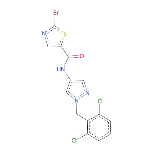 O=C(Nc1cnn(Cc2c(Cl)cccc2Cl)c1)c1cnc(Br)s1